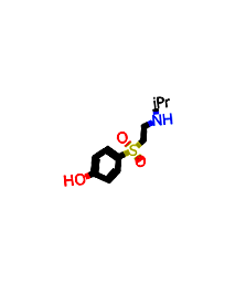 CC(C)NCCS(=O)(=O)c1ccc(O)cc1